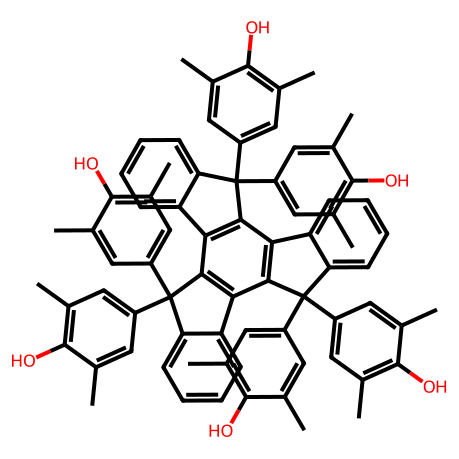 Cc1cc(C2(c3cc(C)c(O)c(C)c3)c3ccccc3-c3c2c2c(c4c3C(c3cc(C)c(O)c(C)c3)(c3cc(C)c(O)c(C)c3)c3ccccc3-4)C(c3cc(C)c(O)c(C)c3)(c3cc(C)c(O)c(C)c3)c3ccccc3-2)cc(C)c1O